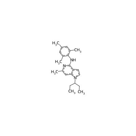 CCC(CC)n1ccc2c(Nc3c(C)cc(C)cc3C)nc(C)cc21